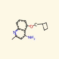 Cc1cc(N)c2c(OCC3CCC3)cccc2n1